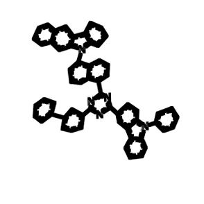 c1ccc(-c2cccc(-c3nc(-c4ccc5c(c4)c4ccccc4n5-c4ccccc4)nc(-c4cccc5c(-n6c7ccccc7c7cc8ccccc8cc76)cccc45)n3)c2)cc1